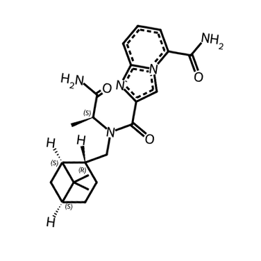 C[C@@H](C(N)=O)N(C[C@@H]1CC[C@H]2C[C@@H]1C2(C)C)C(=O)c1cn2c(C(N)=O)cccc2n1